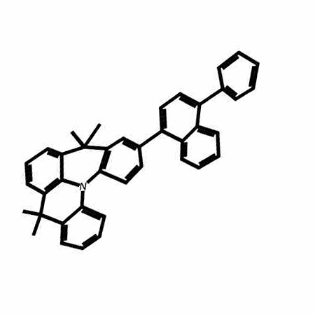 CC1(C)c2ccccc2N2c3ccc(-c4ccc(-c5ccccc5)c5ccccc45)cc3C(C)(C)c3cccc1c32